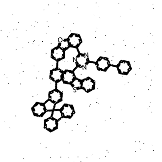 c1ccc(-c2ccc(-c3nc(-c4cccc5oc6ccc(-c7ccc(-c8ccc9c(c8)-c8ccccc8C98c9ccccc9-c9ccccc98)cc7)cc6c45)nc(-c4cccc5sc6ccccc6c45)n3)cc2)cc1